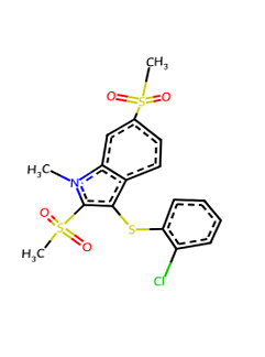 Cn1c(S(C)(=O)=O)c(Sc2ccccc2Cl)c2ccc(S(C)(=O)=O)cc21